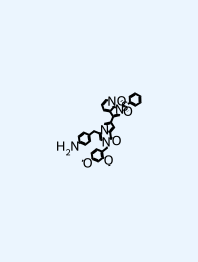 COc1ccc(Cn2cc(Cc3ccc(N)cc3)n3cc(-c4cn(S(=O)(=O)c5ccccc5)c5ncccc45)cc3c2=O)c(OC)c1